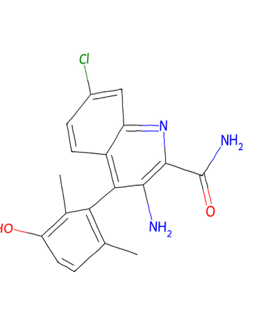 Cc1ccc(O)c(C)c1-c1c(N)c(C(N)=O)nc2cc(Cl)ccc12